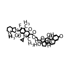 COc1c(N2CC3CCCNC3C2)c(F)c(C)c2c(=O)c(C(=O)OCCC(=O)[C@@]3(O)CC[C@H]4[C@@H]5CCC6=CC(=O)C=C[C@]6(C)[C@H]5[C@@H](O)C[C@@]43C)c(C)n(C3CC3)c12